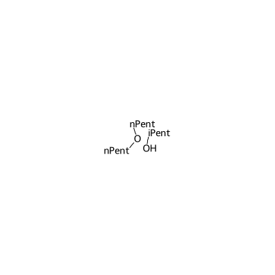 CCCC(C)O.CCCCCOCCCCC